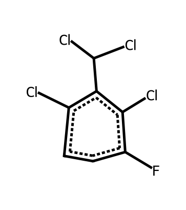 Fc1ccc(Cl)c(C(Cl)Cl)c1Cl